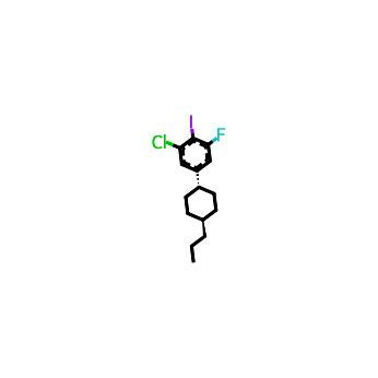 CCC[C@H]1CC[C@H](c2cc(F)c(I)c(Cl)c2)CC1